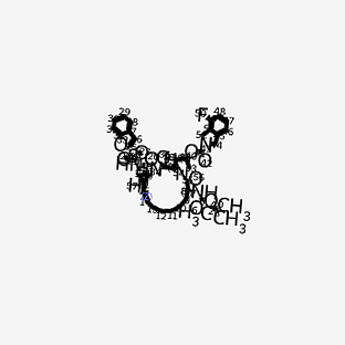 CC(C)(C)OC(=O)N[C@H]1CCCCC/C=C\[C@@H]2C[C@@]2(C(=O)NS(=O)(=O)c2cc3ccccc3o2)NC(=O)[C@@H]2C[C@@H](OC(=O)N3Cc4cccc(F)c4C3)CN2C1=O